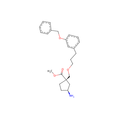 COC(=O)[C@@]1(COCCCc2cccc(OCc3ccccc3)c2)CC[C@H](N)C1